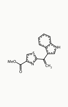 C=C(c1nc(C(=O)OC)cs1)c1c[nH]c2ccccc12